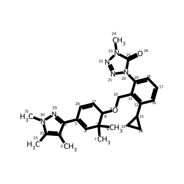 Cc1c(C2=CC(C)(C)C(OCc3c(C4CC4)cccc3-n3nnn(C)c3=O)C=C2)nn(C)c1C